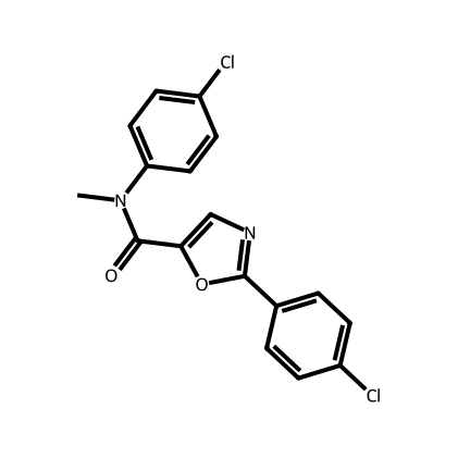 CN(C(=O)c1cnc(-c2ccc(Cl)cc2)o1)c1ccc(Cl)cc1